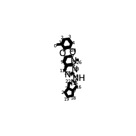 Cc1ccccc1Oc1cc2cnc(NN3CC4CCCC4C3)nc2n(C)c1=O